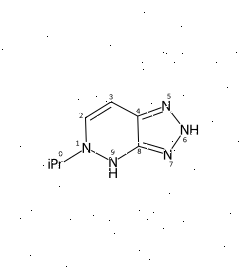 CC(C)N1C=Cc2n[nH]nc2N1